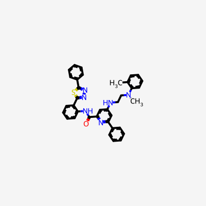 Cc1ccccc1N(C)CCNc1cc(C(=O)Nc2ccccc2-c2nnc(-c3ccccc3)s2)nc(-c2ccccc2)c1